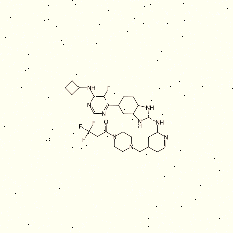 O=C(CC(F)(F)F)N1CCN(CC2CC=NC(NC3NC4CCC(C5=NC=NC(NC6CCC6)C5F)CC4N3)C2)CC1